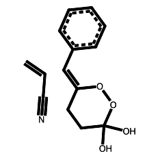 C=CC#N.OC1(O)CCC(=Cc2ccccc2)OO1